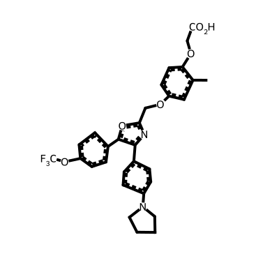 Cc1cc(OCc2nc(-c3ccc(N4CCCC4)cc3)c(-c3ccc(OC(F)(F)F)cc3)o2)ccc1OCC(=O)O